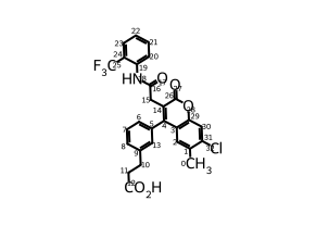 Cc1cc2c(-c3cccc(CCC(=O)O)c3)c(CC(=O)Nc3ccccc3C(F)(F)F)c(=O)oc2cc1Cl